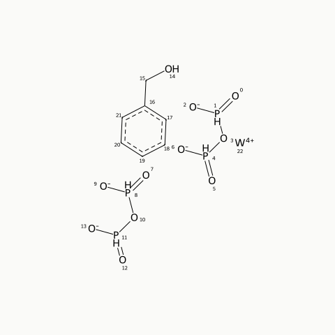 O=[PH]([O-])O[PH](=O)[O-].O=[PH]([O-])O[PH](=O)[O-].OCc1ccccc1.[W+4]